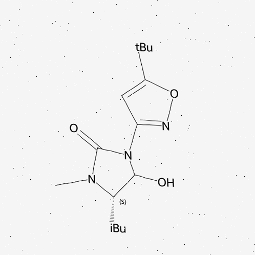 CCC(C)[C@H]1C(O)N(c2cc(C(C)(C)C)on2)C(=O)N1C